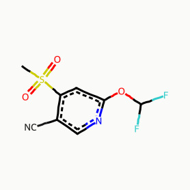 CS(=O)(=O)c1cc(OC(F)F)ncc1C#N